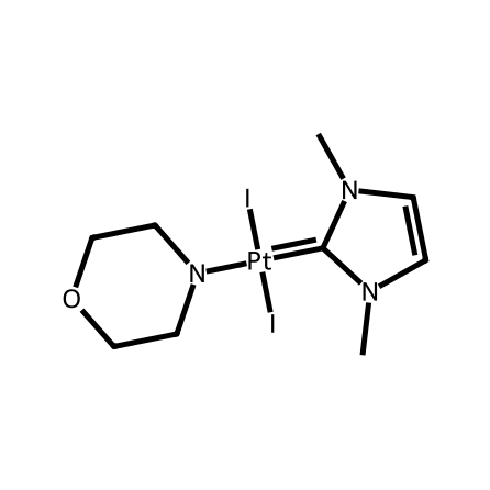 Cn1ccn(C)[c]1=[Pt]([I])([I])[N]1CCOCC1